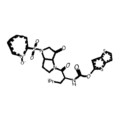 CC(C)CC(NC(=O)Oc1cc2sccc2s1)C(=O)N1CCC2C1C(=O)CN2S(=O)(=O)c1cccc[n+]1[O-]